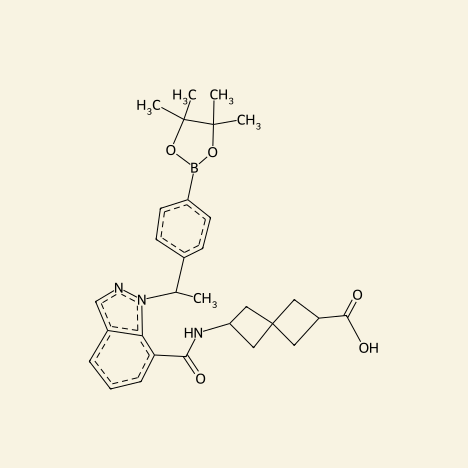 CC(c1ccc(B2OC(C)(C)C(C)(C)O2)cc1)n1ncc2cccc(C(=O)NC3CC4(C3)CC(C(=O)O)C4)c21